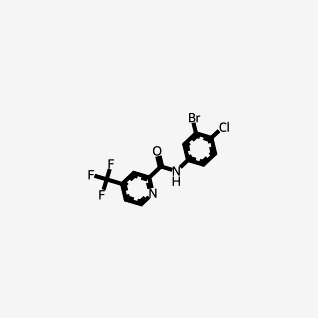 O=C(Nc1ccc(Cl)c(Br)c1)c1cc(C(F)(F)F)ccn1